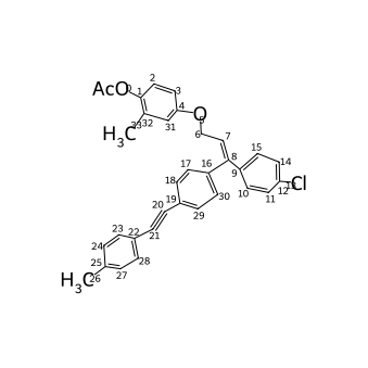 CC(=O)Oc1ccc(OC/C=C(/c2ccc(Cl)cc2)c2ccc(C#Cc3ccc(C)cc3)cc2)cc1C